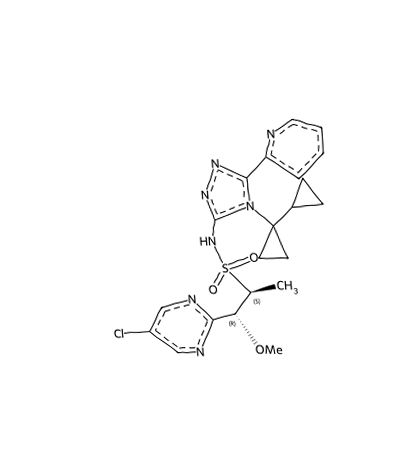 CO[C@H](c1ncc(Cl)cn1)[C@H](C)S(=O)(=O)Nc1nnc(-c2ccccn2)n1C1(C2CC2)CC1